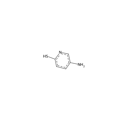 Nc1ccc(S)nc1